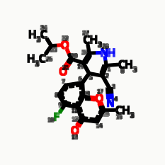 CC1=C(C#N)C(c2ccc(F)c3c(=O)cc(C)oc23)C(C(=O)OC(C)C)=C(C)N1